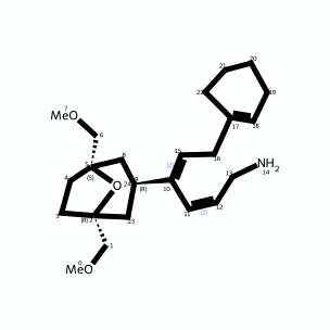 COC[C@@]12CC[C@@](COC)(C[C@@H](C(/C=C\CN)=C/CC3=CCCCC3)C1)O2